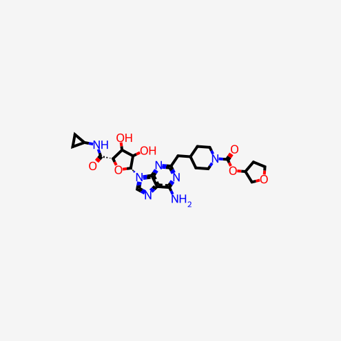 Nc1nc(CC2CCN(C(=O)OC3CCOC3)CC2)nc2c1ncn2[C@@H]1O[C@H](C(=O)NC2CC2)C(O)C1O